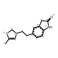 CC1=CN(CCc2ccc3c(c2)CC(=O)N3)CO1